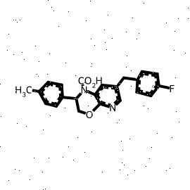 Cc1ccc(C2COc3ncc(Cc4ccc(F)cc4)cc3N2C(=O)O)cc1